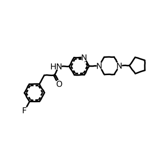 O=C(Cc1ccc(F)cc1)Nc1ccc(N2CCN(C3CCCC3)CC2)nc1